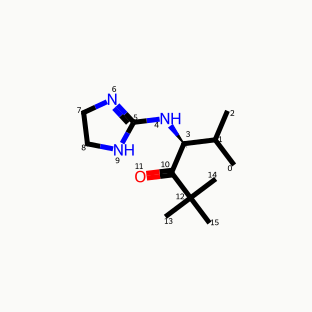 CC(C)[C@H](NC1=NCCN1)C(=O)C(C)(C)C